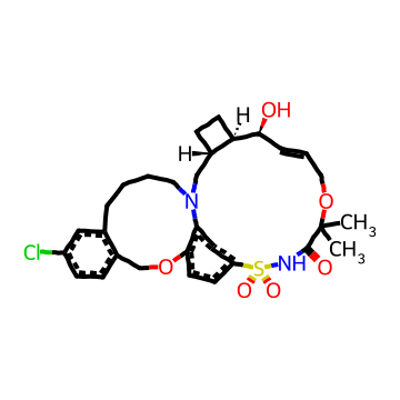 CC1(C)OC/C=C/[C@H](O)[C@@H]2CC[C@H]2CN2CCCCc3cc(Cl)ccc3COc3ccc(cc32)S(=O)(=O)NC1=O